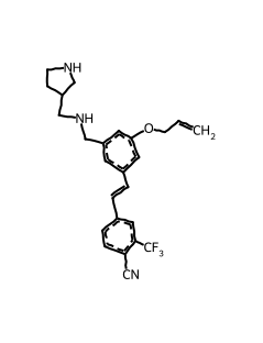 C=CCOc1cc(/C=C/c2ccc(C#N)c(C(F)(F)F)c2)cc(CNCC2CCNC2)c1